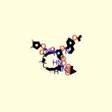 CC(C)Oc1ccc2c(O[C@@H]3C[C@H]4C(=O)N[C@]5(C(=O)NS(=O)(=O)C6(C)CC6)C[C@H]5/C=C\CC[C@H](C)C[C@@H](C)[C@H](NC(=O)O[C@H]5C[C@@H](C)[C@@H](C)C5)C(=O)N4C3)nccc2c1